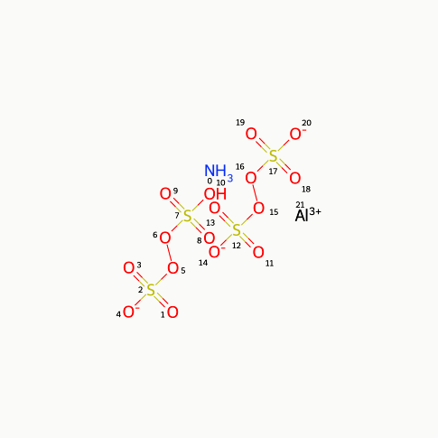 N.O=S(=O)([O-])OOS(=O)(=O)O.O=S(=O)([O-])OOS(=O)(=O)[O-].[Al+3]